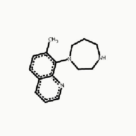 Cc1ccc2cccnc2c1N1CCCNCC1